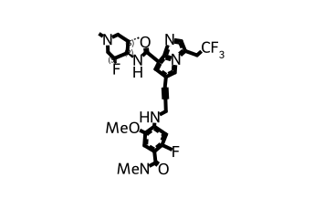 CNC(=O)c1cc(OC)c(NCC#Cc2cc(C(=O)N[C@@H]3[C@@H](C)CN(C)C[C@@H]3F)c3ncc(CC(F)(F)F)n3c2)cc1F